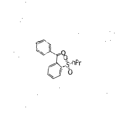 CCCS(=O)(=O)c1ccccc1C(=O)c1ccccc1